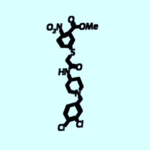 COC(=O)c1cc(SCC(=O)NC2CCN(Cc3ccc(Cl)c(Cl)c3)CC2)ccc1[N+](=O)[O-]